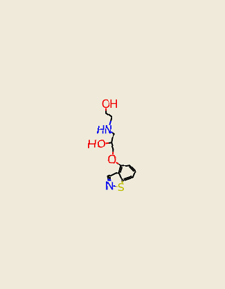 OCCNCC(O)COc1cccc2sncc12